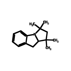 CC1(C)CC(C)(C)N2c3ccccc3CC21